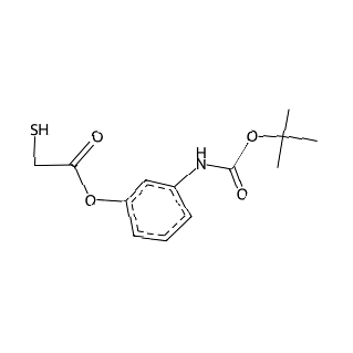 CC(C)(C)OC(=O)Nc1cccc(OC(=O)CS)c1